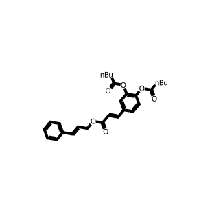 CCCCC(=O)Oc1ccc(/C=C/C(=O)OC/C=C/c2ccccc2)cc1OC(=O)CCCC